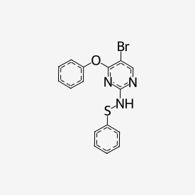 Brc1cnc(NSc2ccccc2)nc1Oc1ccccc1